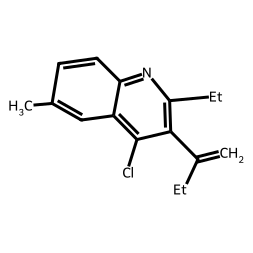 C=C(CC)c1c(CC)nc2ccc(C)cc2c1Cl